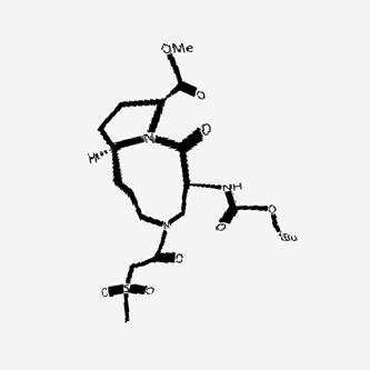 COC(=O)[C@@H]1CC[C@@H]2CCN(C(=O)CS(C)(=O)=O)C[C@H](NC(=O)OC(C)(C)C)C(=O)N21